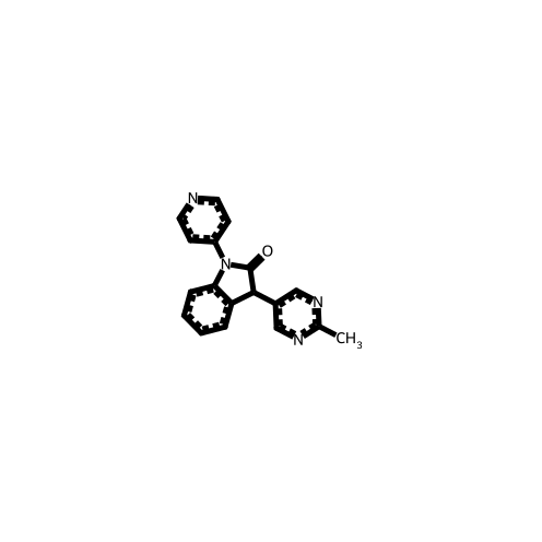 Cc1ncc(C2C(=O)N(c3ccncc3)c3ccccc32)cn1